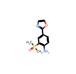 CP(C)(=O)c1cc(-c2ncco2)ccc1N